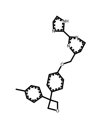 Cc1ccc(C2(c3ccc(OCc4ccnc(-c5ncc[nH]5)n4)cc3)COC2)cc1